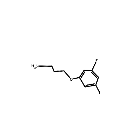 Fc1cc(I)cc(OCCC[SiH3])c1